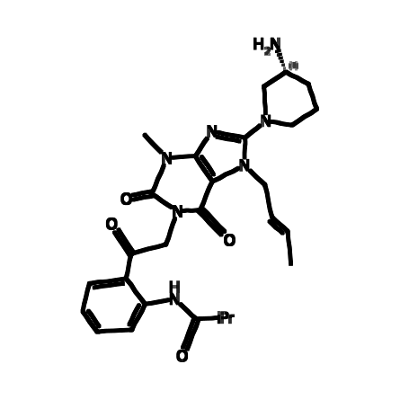 CC=CCn1c(N2CCC[C@@H](N)C2)nc2c1c(=O)n(CC(=O)c1ccccc1NC(=O)C(C)C)c(=O)n2C